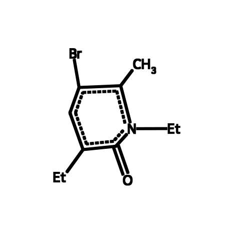 CCc1cc(Br)c(C)n(CC)c1=O